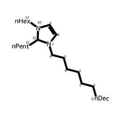 CCCCCCCCCCCCCCCCN1C=CN(CCCCCC)C1CCCCC